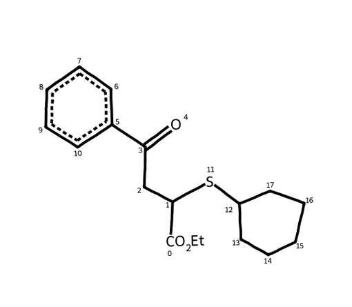 CCOC(=O)C(CC(=O)c1ccccc1)SC1CCCCC1